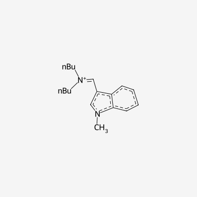 CCCC[N+](=Cc1cn(C)c2ccccc12)CCCC